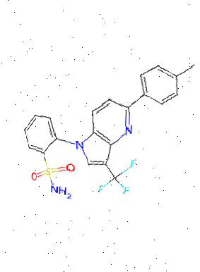 Cc1ccc(-c2ccc3c(n2)c(C(F)(F)F)cn3-c2ccccc2S(N)(=O)=O)cc1